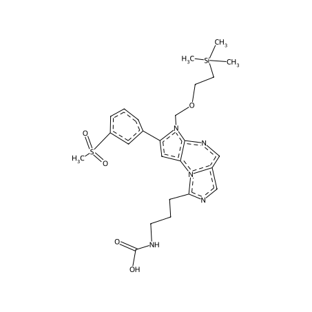 C[Si](C)(C)CCOCn1c(-c2cccc(S(C)(=O)=O)c2)cc2c1ncc1cnc(CCCNC(=O)O)n12